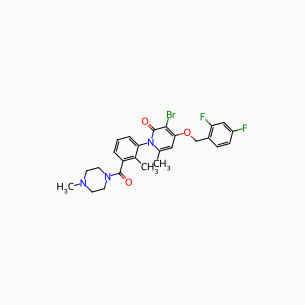 Cc1c(C(=O)N2CCN(C)CC2)cccc1-n1c(C)cc(OCc2ccc(F)cc2F)c(Br)c1=O